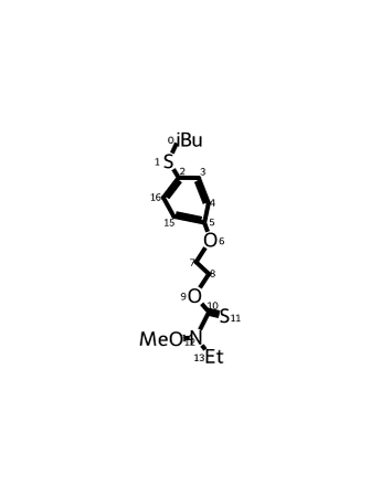 CCC(C)Sc1ccc(OCCOC(=S)N(CC)OC)cc1